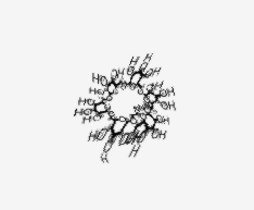 [N-]=[N+]=NCCOC1OC(CO[C@@H]2O[C@H](COC3OC(CO[C@@H]4OC(COC5OC(COC6OC(CO)C(O)[C@H](O)C6O)[C@@H](O)C(O)[C@H]5O)C(O)[C@H](O)C4O)[C@@H](O)C(O)[C@H]3O)C(O)[C@H](O)C2O)[C@@H](O)C(O)[C@H]1O